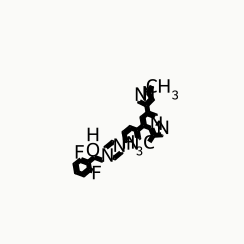 Cc1cnn2cc(-c3cnn(C)c3)cc(-c3ccc(N4CCN(CC(O)c5c(F)cccc5F)CC4)nc3)c12